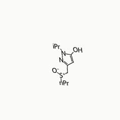 CCC[S+]([O-])Cc1cc(O)n(C(C)C)n1